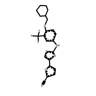 N#Cc1ccc(-c2csc(Nc3ccc(OCC4CCCCC4)c(C(F)(F)F)c3)n2)o1